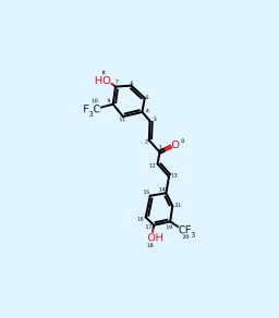 O=C(C=Cc1ccc(O)c(C(F)(F)F)c1)C=Cc1ccc(O)c(C(F)(F)F)c1